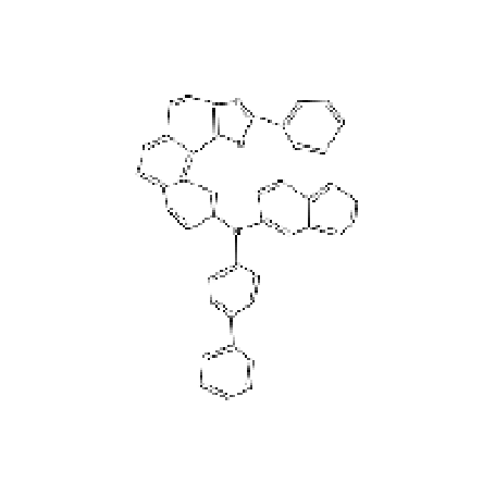 c1ccc(-c2ccc(N(c3ccc4ccccc4c3)c3ccc4ccc5ccc6nc(-c7ccccc7)oc6c5c4c3)cc2)cc1